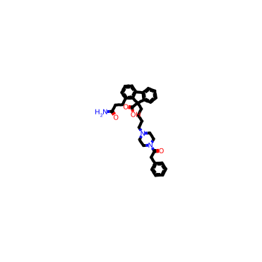 NC(=O)CCc1cccc2c1C(CCCCN1CCN(C(=O)Cc3ccccc3)CC1)(C(=O)O)c1ccccc1-2